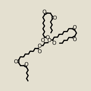 CCCCCC1OC1CC1OC1CCCCCCCC(=O)OCC(COC(=O)CCCCCCCC1OC1CC1OC1CCCCC)OC(=O)CCCCCCCC1OC1CC1OC1CCCCC